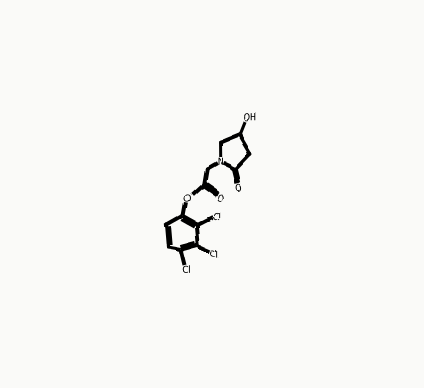 O=C(CN1CC(O)CC1=O)Oc1ccc(Cl)c(Cl)c1Cl